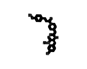 CCOc1ccc(CCC(=O)N2CCC(CC(=O)N[C@@H](Cc3ccc(Cl)cc3)C(=O)OC)CC2)cc1